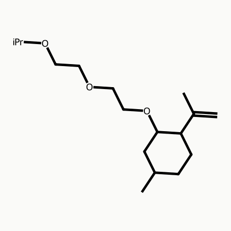 C=C(C)C1CCC(C)CC1OCCOCCOC(C)C